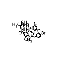 Cc1cc(C(=O)NCC(C)N(C)C)ccc1NC(=O)Cc1ccc(Br)c(Oc2cc(Cl)cc(C#N)c2)c1F